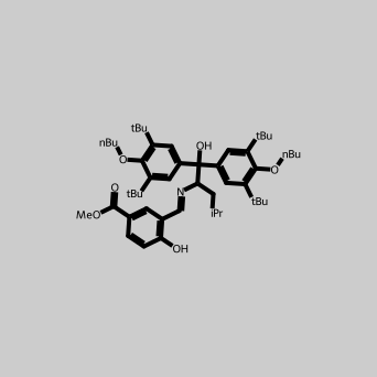 CCCCOc1c(C(C)(C)C)cc(C(O)(c2cc(C(C)(C)C)c(OCCCC)c(C(C)(C)C)c2)C(CC(C)C)N=Cc2cc(C(=O)OC)ccc2O)cc1C(C)(C)C